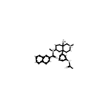 CC(=O)Oc1cccc(C23CCN(C)CC2(O)CCC(N(C)C(=O)c2ccc4ccccc4c2)C3)c1